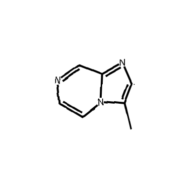 Cc1[c]nc2cnccn12